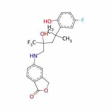 CC(C)(CC(O)(CNc1ccc2c(c1)COC2=O)C(F)(F)F)c1cc(F)ccc1O